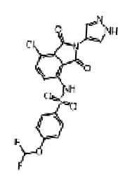 O=C1c2c(Cl)ccc(NS(=O)(=O)c3ccc(OC(F)F)cc3)c2C(=O)N1c1cn[nH]c1